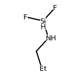 CCCN[SiH](F)F